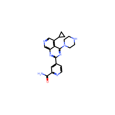 NC(=O)c1cc(-c2nc(N3CCNCC3)c3c(C4CC4)cncc3n2)ccn1